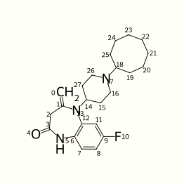 C=C1CC(=O)Nc2ccc(F)cc2N1C1CCN(C2CCCCCCC2)CC1